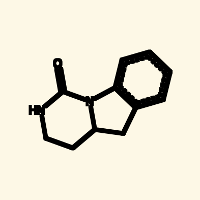 O=C1NCCC2Cc3ccccc3N12